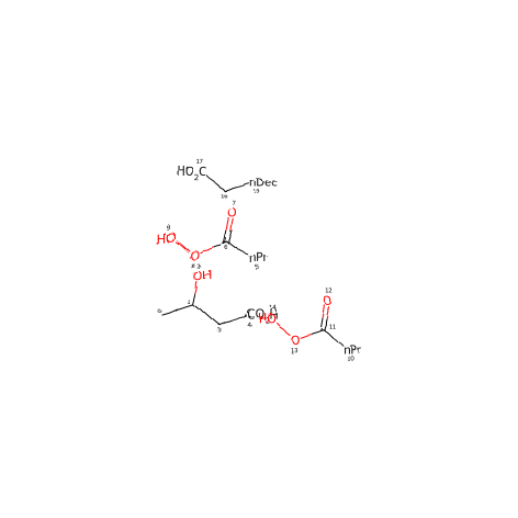 CC(O)CC(=O)O.CCCC(=O)OO.CCCC(=O)OO.CCCCCCCCCCCC(=O)O